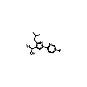 [2H]C(O)c1cc(-c2ccc(F)cn2)nn1CC(C)C